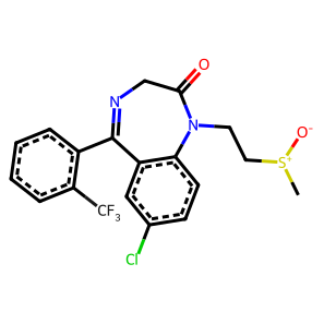 C[S+]([O-])CCN1C(=O)CN=C(c2ccccc2C(F)(F)F)c2cc(Cl)ccc21